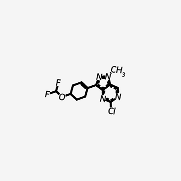 Cn1nc(C2=CCC(OC(F)F)CC2)c2nc(Cl)ncc21